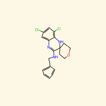 Clc1cc(Cl)c2c(c1)N=C(NCc1ccccc1)C1(CCOCC1)N2